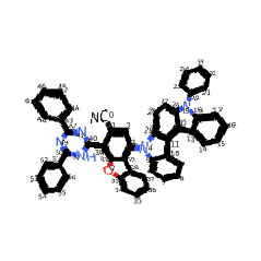 N#Cc1cc(-n2c3ccccc3c3c4c5ccccc5n(-c5ccccc5)c4ccc32)c2c(oc3ccccc32)c1C1N=C(c2ccccc2)N=C(c2ccccc2)N1